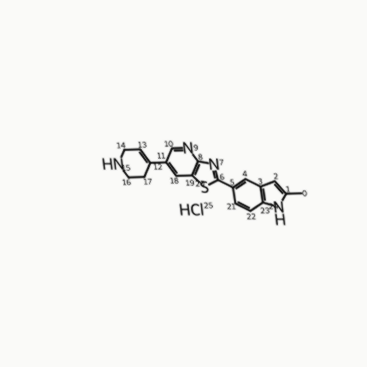 Cc1cc2cc(-c3nc4ncc(C5=CCNCC5)cc4s3)ccc2[nH]1.Cl